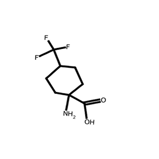 NC1(C(=O)O)CCC(C(F)(F)F)CC1